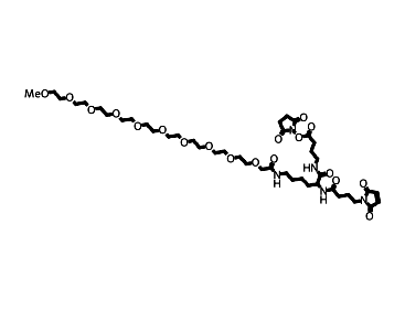 COCCOCCOCCOCCOCCOCCOCCOCCOCCOCC(=O)NCCCCC(NC(=O)CCCN1C(=O)C=CC1=O)C(=O)NCCCC(=O)ON1C(=O)CCC1=O